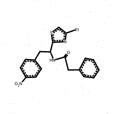 CCc1csc(C(Cc2ccc([N+](=O)[O-])cc2)NC(=O)Cc2ccccc2)n1